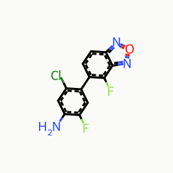 Nc1cc(Cl)c(-c2ccc3nonc3c2F)cc1F